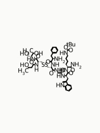 C[C@@H](O)CC(=O)N[C@@H](CSSC[C@H](NC(=O)[C@H](N)Cc1ccccc1)C(=O)NCC(=O)N[C@H](Cc1c[nH]c2ccccc12)C(=O)N[C@@H](CCCCNC(=O)OC(C)(C)C)C(N)=O)C(=O)N[C@H](CO)[C@@H](C)O